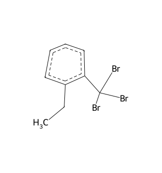 CCc1ccccc1C(Br)(Br)Br